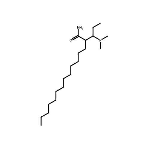 CCCCCCCCCCCCCC(C(N)=O)C(CC)N(C)C